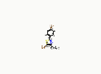 CC(=O)Oc1nc(-c2ccc(Br)cc2)sc1Br